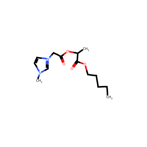 CCCCCOC(=O)C(C)OC(=O)C[n+]1ccn(C)c1